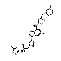 Cc1cn2c(-c3cnn(CC(=O)Nc4nnc(C)s4)c3)cnc2c(NC2CC(CN3CCCC(C)C3)=NS2)n1